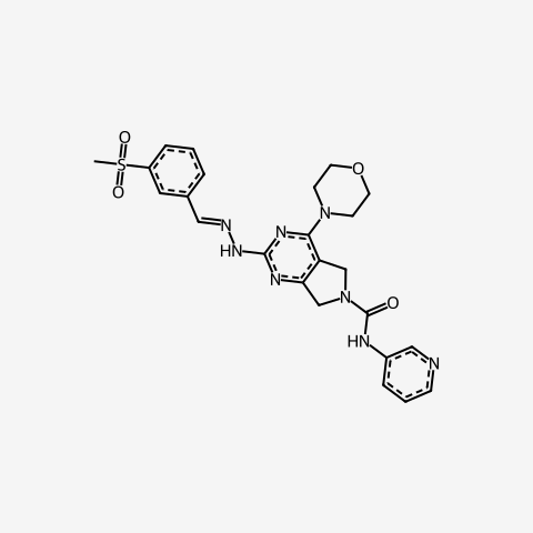 CS(=O)(=O)c1cccc(/C=N/Nc2nc3c(c(N4CCOCC4)n2)CN(C(=O)Nc2cccnc2)C3)c1